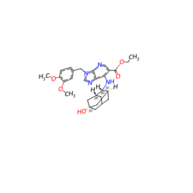 CCOC(=O)c1cnc2c(ncn2Cc2ccc(OC)c(OC)c2)c1N[C@H]1[C@@H]2CC3C[C@H]1C[C@@](O)(C3)C2